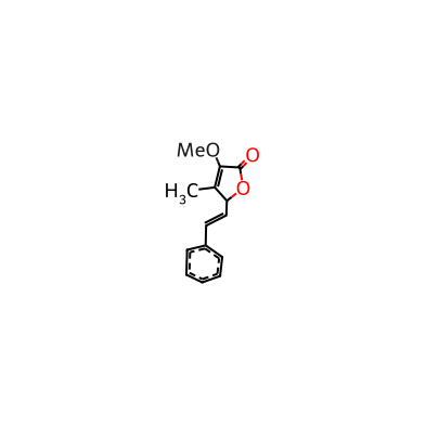 COC1=C(C)C(C=Cc2ccccc2)OC1=O